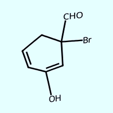 O=CC1(Br)C=C(O)C=CC1